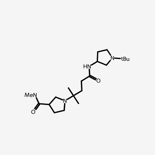 CNC(=O)C1CCN(C(C)(C)CCC(=O)NC2CCN(C(C)(C)C)C2)C1